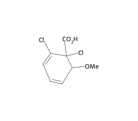 COC1C=CC=C(Cl)C1(Cl)C(=O)O